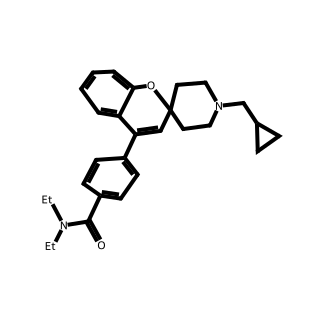 CCN(CC)C(=O)c1ccc(C2=CC3(CCN(CC4CC4)CC3)Oc3ccccc32)cc1